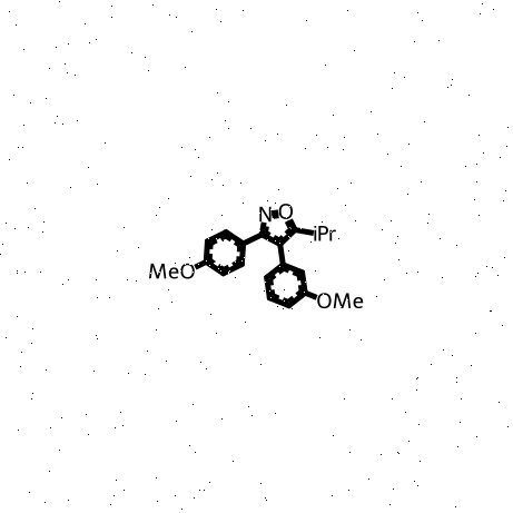 COc1ccc(-c2noc(C(C)C)c2-c2cccc(OC)c2)cc1